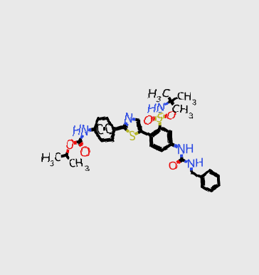 CC(C)OC(=O)NC12CCC(c3ncc(-c4ccc(NC(=O)NCc5ccccc5)cc4S(=O)(=O)NC(C)(C)C)s3)(CC1)CC2